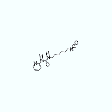 O=C=NCCCCCCNC(=O)Nc1ccccn1